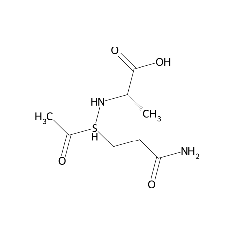 CC(=O)[SH](CCC(N)=O)N[C@@H](C)C(=O)O